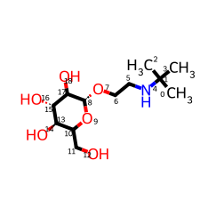 CC(C)(C)NCCO[C@@H]1OC(CO)[C@@H](O)[C@H](O)C1O